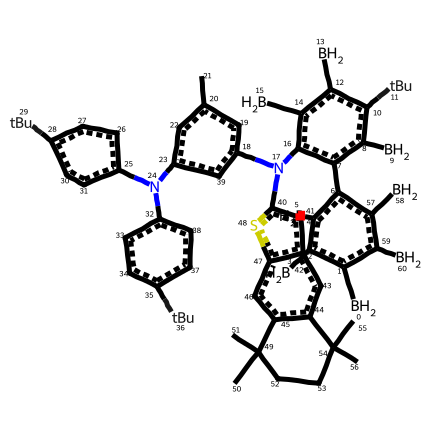 Bc1c(B)c(B)c(-c2c(B)c(C(C)(C)C)c(B)c(B)c2N(c2cc(C)cc(N(c3ccc(C(C)(C)C)cc3)c3ccc(C(C)(C)C)cc3)c2)c2cc3cc4c(cc3s2)C(C)(C)CCC4(C)C)c(B)c1B